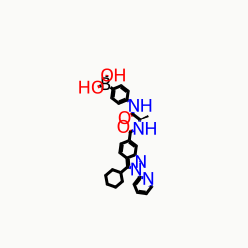 C[C@@H](NC(=O)c1ccc2c(C3CCCCC3)n(-c3ccccn3)nc2c1)C(=O)Nc1ccc(B(O)O)cc1